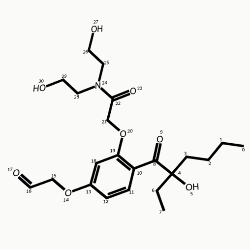 CCCCC(O)(CC)C(=O)c1ccc(OCC=O)cc1OCC(=O)N(CCO)CCO